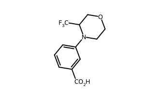 O=C(O)c1cccc(N2CCOCC2C(F)(F)F)c1